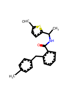 Cc1ccc(Cc2ccccc2C(=O)NC(C)c2ccc(C=O)s2)cc1